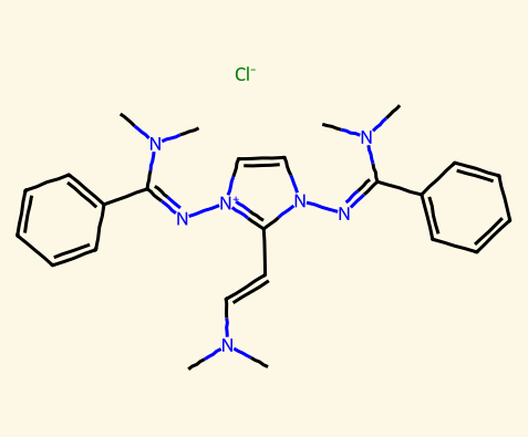 CN(C)C=Cc1n(N=C(c2ccccc2)N(C)C)cc[n+]1N=C(c1ccccc1)N(C)C.[Cl-]